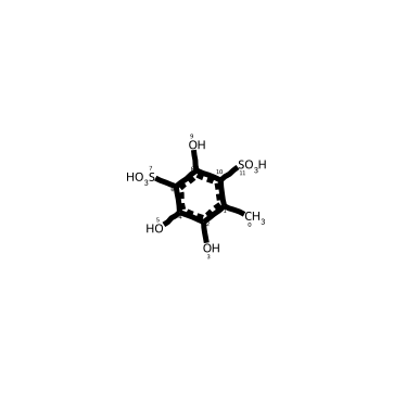 Cc1c(O)c(O)c(S(=O)(=O)O)c(O)c1S(=O)(=O)O